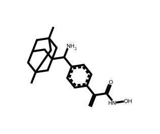 C=C(C(=O)NO)c1ccc(C(N)C23CC4CC(C)(CC(C)(C4)C2)C3)cc1